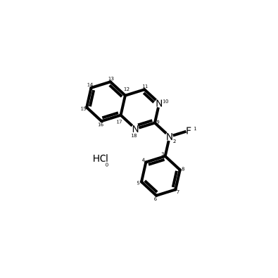 Cl.FN(c1ccccc1)c1ncc2ccccc2n1